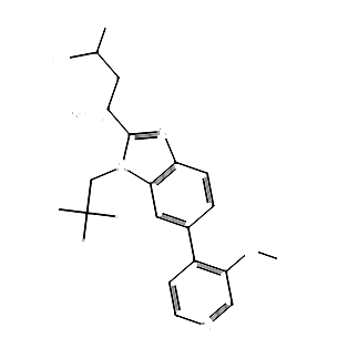 COc1cnccc1-c1ccc2nc([C@H](N)CC(C)C)n(CC(F)(F)F)c2c1